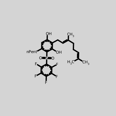 CCCCCc1cc(O)c(C/C=C(\C)CCC=C(C)C)c(O)c1S(=O)(=O)c1c(F)c(F)c(F)c(F)c1F